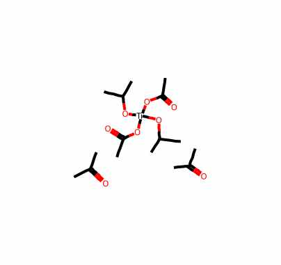 CC(=O)[O][Ti]([O]C(C)=O)([O]C(C)C)[O]C(C)C.CC(C)=O.CC(C)=O